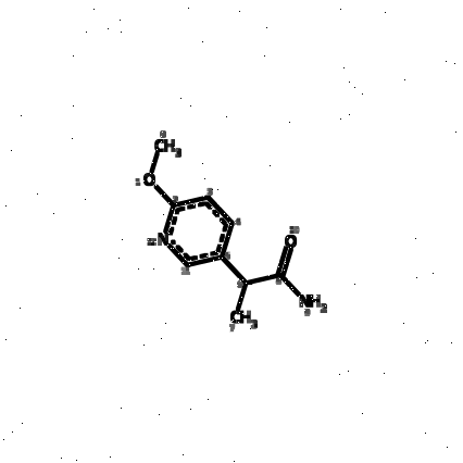 COc1ccc([C](C)C(N)=O)cn1